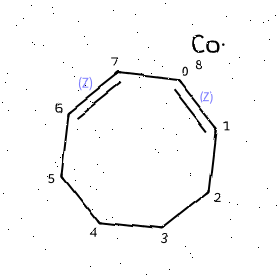 C1=C\CCCC\C=C/1.[Co]